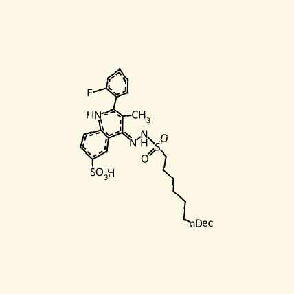 CCCCCCCCCCCCCCCCS(=O)(=O)NN=c1c(C)c(-c2ccccc2F)[nH]c2ccc(S(=O)(=O)O)cc12